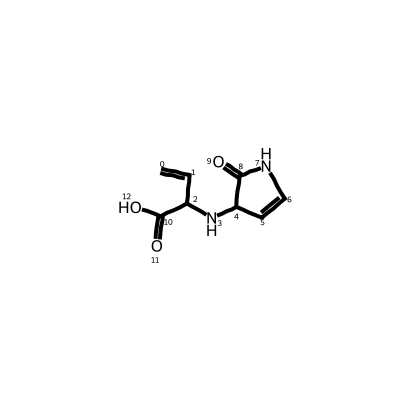 C=CC(NC1C=CNC1=O)C(=O)O